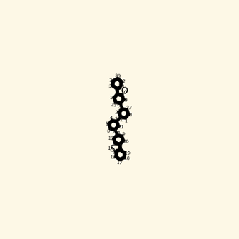 c1cc(-c2cccc(-c3ccc4c(c3)sc3ccccc34)c2)cc(-c2ccc3c(c2)oc2ccccc23)c1